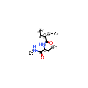 CCNC(=O)C(CC(C)C)NC(=O)[C@H](CC(C)C)NC(C)=O